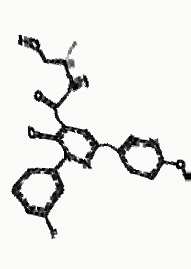 COc1ccc(-c2cc(C(=O)N[C@@H](C)CO)c(=O)n(-c3cccc(F)c3)n2)cn1